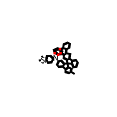 Cc1ccc2c(c1)C1(c3ccccc3-c3cc4c5ccccc5c5ccccc5c4cc31)c1cc(N(c3ccccc3)c3ccc([Si](C)(C)C)cc3)ccc1-2